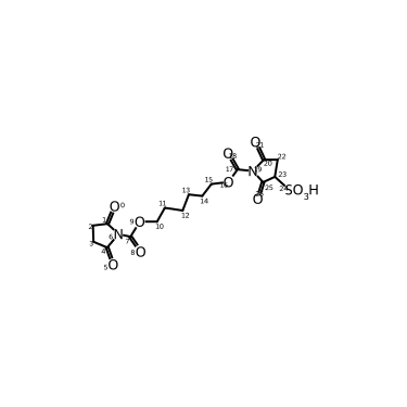 O=C1CCC(=O)N1C(=O)OCCCCCCOC(=O)N1C(=O)CC(S(=O)(=O)O)C1=O